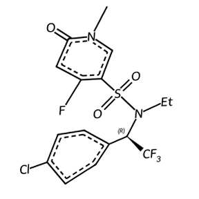 CCN([C@H](c1ccc(Cl)cc1)C(F)(F)F)S(=O)(=O)c1cn(C)c(=O)cc1F